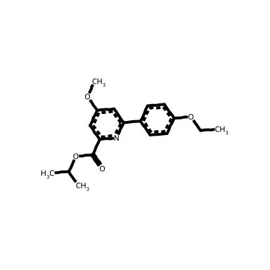 CCOc1ccc(-c2cc(OC)cc(C(=O)OC(C)C)n2)cc1